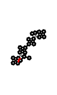 c1ccc(-c2ccc(N(c3ccc4c(c3)-c3ccccc3C4(c3ccccc3)c3ccccc3)c3cccc4c3-c3ccccc3C43c4ccccc4-c4cc(-c5ccc(C6(c7ccccc7)c7ccccc7-c7cc(N(c8cccc9c8-c8ccccc8C98c9ccccc9-c9ccccc98)c8cccc9ccccc89)ccc76)cc5)ccc43)c(-c3ccccc3)c2)cc1